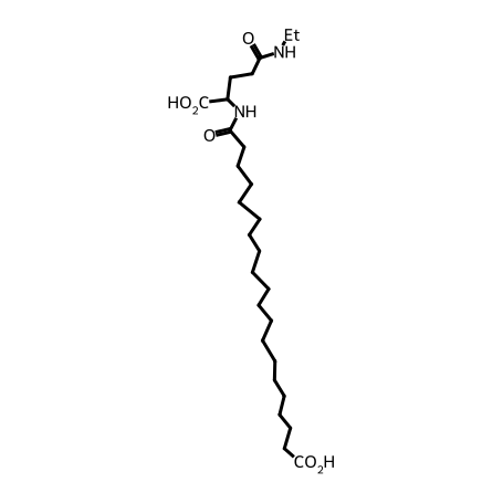 CCNC(=O)CCC(NC(=O)CCCCCCCCCCCCCCCCCCC(=O)O)C(=O)O